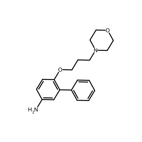 Nc1ccc(OCCCN2CCOCC2)c(-c2ccccc2)c1